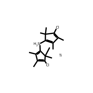 CC1=C(Cl)C(C)(C)C([SiH2]C2=C(C)C(C)=C(Cl)C2(C)C)=C1C.[Ti]